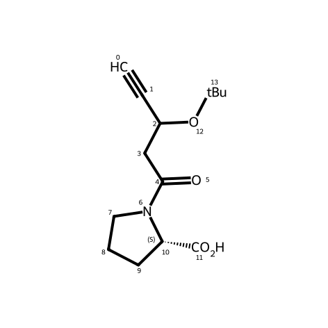 C#CC(CC(=O)N1CCC[C@H]1C(=O)O)OC(C)(C)C